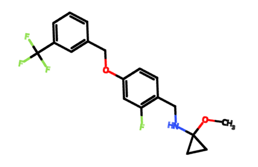 COC1(NCc2ccc(OCc3cccc(C(F)(F)F)c3)cc2F)CC1